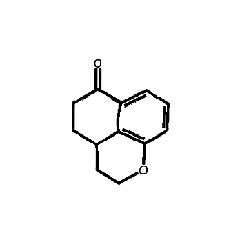 O=C1CCC2CCOc3cccc1c32